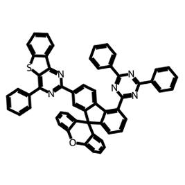 c1ccc(-c2nc(-c3ccccc3)nc(-c3cccc4c3-c3ccc(-c5nc(-c6ccccc6)c6sc7ccccc7c6n5)cc3C43c4ccccc4Oc4ccccc43)n2)cc1